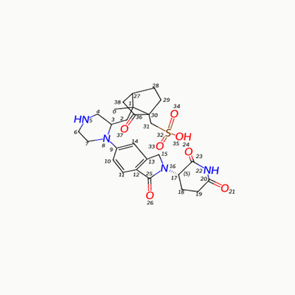 CC1(CC2CNCCN2c2ccc3c(c2)CN([C@H]2CCC(=O)NC2=O)C3=O)C2CCC1(CS(=O)(=O)O)C(=O)C2